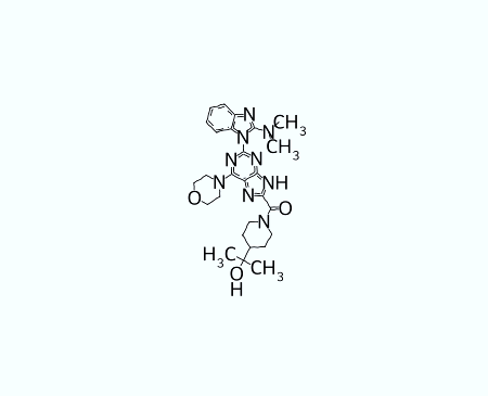 CN(C)c1nc2ccccc2n1-c1nc(N2CCOCC2)c2nc(C(=O)N3CCC(C(C)(C)O)CC3)[nH]c2n1